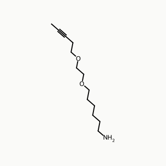 CC#CCCOCCOCCCCCCN